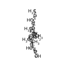 C=CCOCCC(O)COCCOC(C)(F)CCOC(C)(N)C(C)(CF)COC(C)(CC)CCOCC(O)CCOCCO